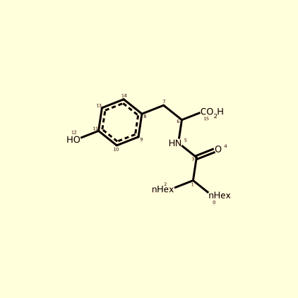 CCCCCCC(CCCCCC)C(=O)NC(Cc1ccc(O)cc1)C(=O)O